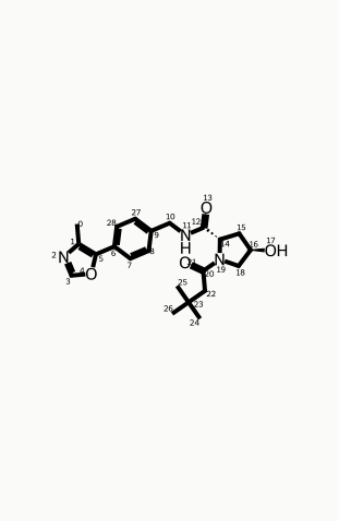 Cc1ncoc1-c1ccc(CNC(=O)[C@@H]2C[C@@H](O)CN2C(=O)CC(C)(C)C)cc1